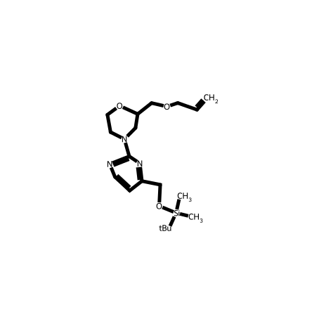 C=CCOCC1CN(c2nccc(CO[Si](C)(C)C(C)(C)C)n2)CCO1